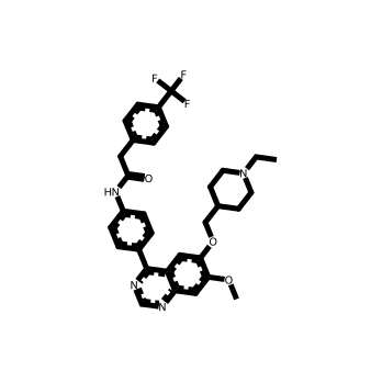 CCN1CCC(COc2cc3c(-c4ccc(NC(=O)Cc5ccc(C(F)(F)F)cc5)cc4)ncnc3cc2OC)CC1